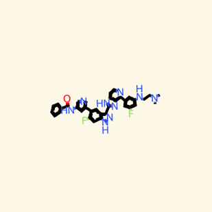 CN(C)CCNc1cc(F)cc(-c2nccc3[nH]c(-c4n[nH]c5cc(F)c(-c6cncc(NC(=O)c7ccccc7)c6)cc45)nc23)c1